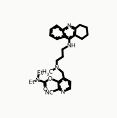 CCN(CC)C(=O)Oc1c(CN(C)CCCNc2c3c(nc4ccccc24)CCCC3)ccnc1C#N